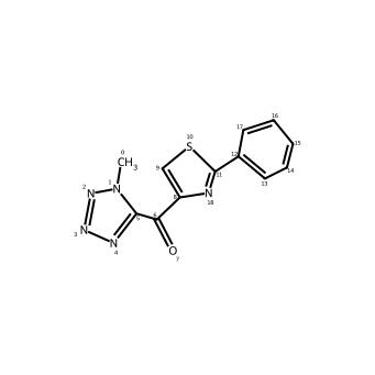 Cn1nnnc1C(=O)c1csc(-c2ccccc2)n1